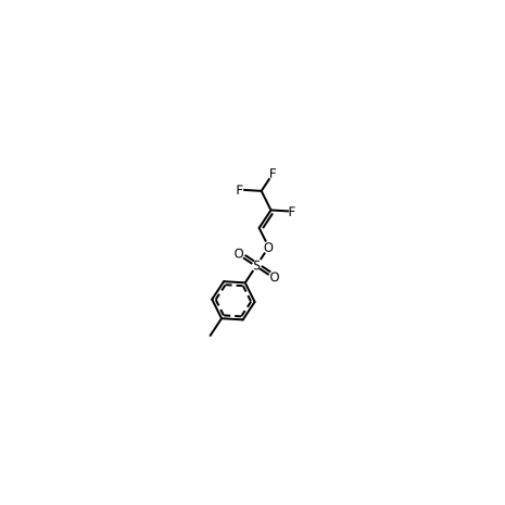 Cc1ccc(S(=O)(=O)OC=C(F)C(F)F)cc1